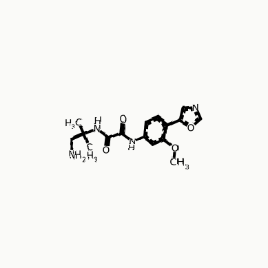 COc1cc(NC(=O)C(=O)NC(C)(C)CN)ccc1-c1cnco1